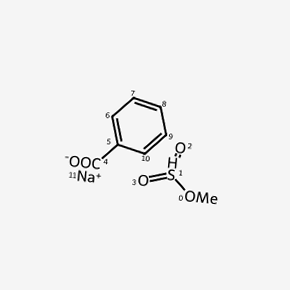 CO[SH](=O)=O.O=C([O-])c1ccccc1.[Na+]